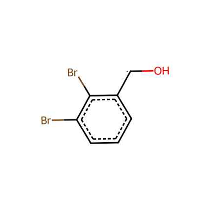 O[CH]c1cccc(Br)c1Br